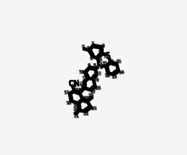 Cc1ccc2c(c1)N(c1ccc3cc(-c4c(C#N)ccc5c(C)ccc(C)c45)ccc3c1)c1ccccc1S2